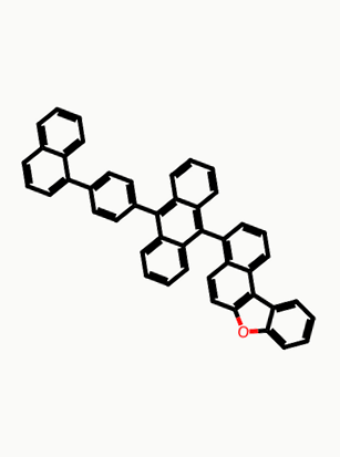 c1ccc2c(-c3ccc(-c4c5ccccc5c(-c5cccc6c5ccc5oc7ccccc7c56)c5ccccc45)cc3)cccc2c1